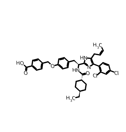 C/C=C\Cc1[nH]c([C@H](Cc2ccc(OCc3ccc(C(=O)O)cc3)cc2)NC(=O)[C@H]2CC[C@H](CC)CC2)nc1-c1ccc(Cl)cc1Cl